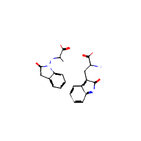 CC(NN1C(=O)Cc2ccccc21)C(=O)O.NC(CC1=c2ccccc2=NC1=O)C(=O)O